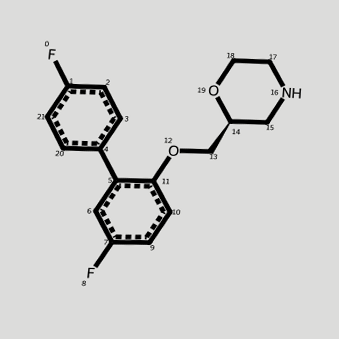 Fc1ccc(-c2cc(F)ccc2OC[C@@H]2CNCCO2)cc1